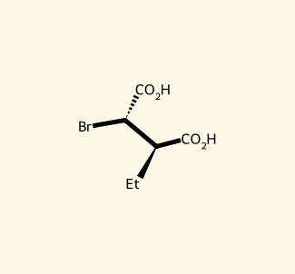 CC[C@H](C(=O)O)[C@H](Br)C(=O)O